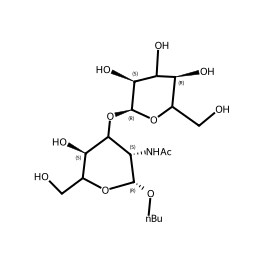 CCCCO[C@@H]1OC(CO)[C@@H](O)C(O[C@@H]2OC(CO)[C@H](O)C(O)[C@@H]2O)[C@@H]1NC(C)=O